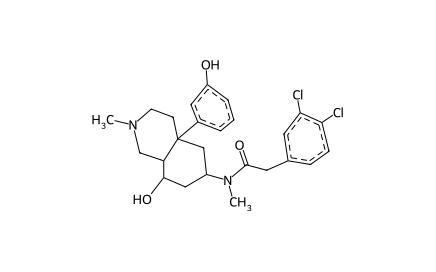 CN1CCC2(c3cccc(O)c3)CC(N(C)C(=O)Cc3ccc(Cl)c(Cl)c3)CC(O)C2C1